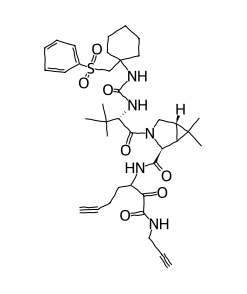 C#CCCC(NC(=O)[C@@H]1C2[C@H](CN1C(=O)[C@@H](NC(=O)NC1(CS(=O)(=O)c3ccccc3)CCCCC1)C(C)(C)C)C2(C)C)C(=O)C(=O)NCC#C